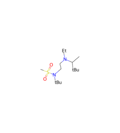 CCN(CCN(C(C)(C)C)S(C)(=O)=O)C(C)C(C)(C)C